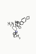 CO/N=C1\CCC(N)C(NC(=O)c2cc3cc(Cl)ccc3[nH]2)C1